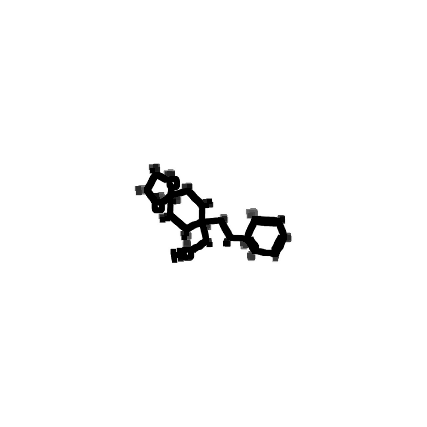 OCC1(CCc2ccccc2)CCC2(CC1)OCCO2